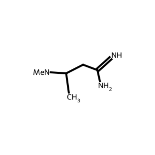 CNC(C)CC(=N)N